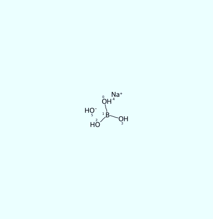 OB(O)O.[Na+].[OH-]